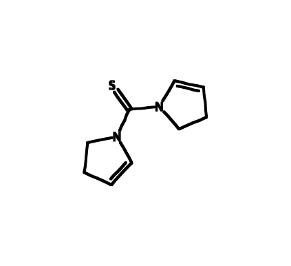 S=C(N1C=CCC1)N1C=CCC1